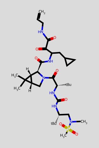 C=CCNC(=O)C(=O)C(CC1CC1)NC(=O)[C@@H]1[C@@H]2[C@H](CN1C(=O)[C@@H](NC(=O)N[C@H](CN(C)S(C)(=O)=O)C(C)(C)C)C(C)(C)C)C2(C)C